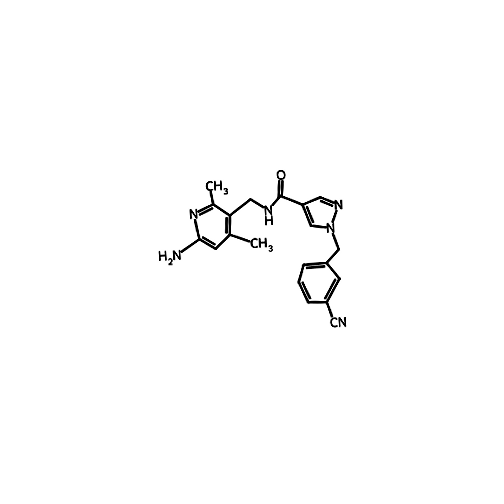 Cc1cc(N)nc(C)c1CNC(=O)c1cnn(Cc2cccc(C#N)c2)c1